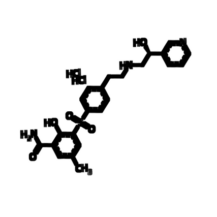 Cc1cc(C(N)=O)c(O)c(S(=O)(=O)c2ccc(CCNC[C@@H](O)c3cccnc3)cc2)c1.Cl.Cl